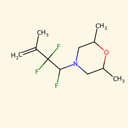 C=C(C)C(F)(F)C(F)N1CC(C)OC(C)C1